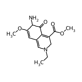 CCN1C=C2C=C(OC)C(N)C(=O)C2=C(C(=O)OC)C1